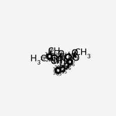 COC(=O)N1CCC(NC(=O)C(N)Cc2c(C)cc(C)cc2C)c2cc(CC3Cc4ccccc4C3)ccc21